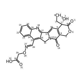 CC[C@@]1(O)C(=O)OCc2c1cc1n(c2=O)Cc2c-1nc1ccccc1c2C=NOCC(=O)O